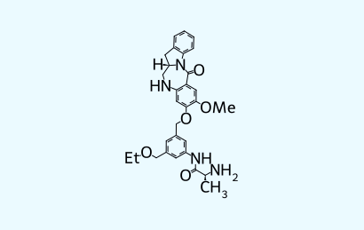 CCOCc1cc(COc2cc3c(cc2OC)C(=O)N2c4ccccc4C[C@H]2CN3)cc(NC(=O)[C@H](C)N)c1